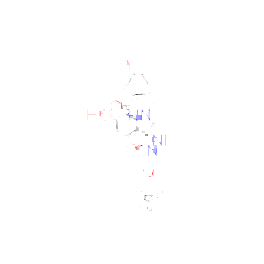 COc1ccc(CNC[C@@]2(c3ccc(O)cc3)NN(COCC[Si](C)(C)C)C2=O)c(C=O)c1